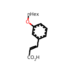 CCCCCCOc1cccc(C=CC(=O)O)c1